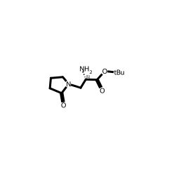 CC(C)(C)OC(=O)[C@@H](N)CN1CCCC1=O